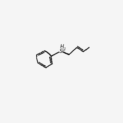 CC=CC[SiH2]c1ccccc1